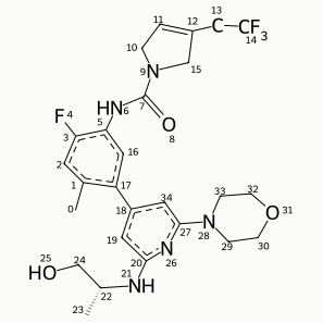 Cc1cc(F)c(NC(=O)N2CC=C(CC(F)(F)F)C2)cc1-c1cc(N[C@H](C)CO)nc(N2CCOCC2)c1